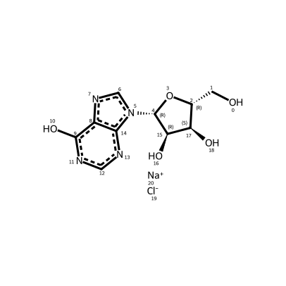 OC[C@H]1O[C@@H](n2cnc3c(O)ncnc32)[C@H](O)[C@@H]1O.[Cl-].[Na+]